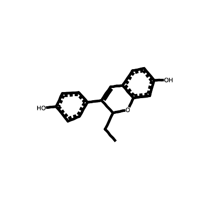 CCC1Oc2cc(O)ccc2C=C1c1ccc(O)cc1